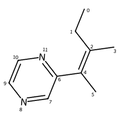 CCC(C)=C(C)c1cnccn1